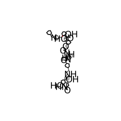 O=C(COc1cccc([C@@](O)(C(=O)O)c2ccccc2CC2CCN(Cc3ccccc3)CC2)c1)N1C[C@@H]2CCN(C(=O)c3ccc(CCNC[C@H](O)c4ccc(O)c5[nH]c(=O)ccc45)cc3)[C@@H]2C1